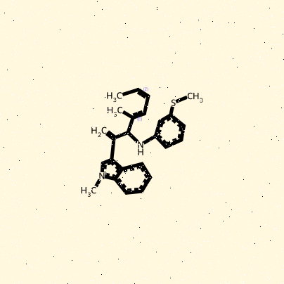 C=C(c1cn(C)c2ccccc12)C(Nc1cccc(SC)c1)/C(C)=C/C=C\C